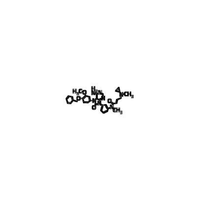 COc1cc(-n2c(=O)n(-c3cccc(N(C)C(=O)C=CCN(C)C4CC4)c3)c3ncnc(N)c32)ccc1OCc1ccccc1